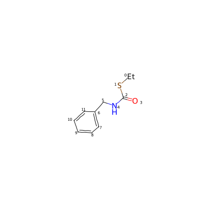 CCSC(=O)NCc1ccccc1